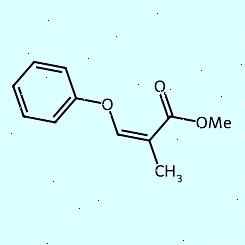 COC(=O)C(C)=COc1ccccc1